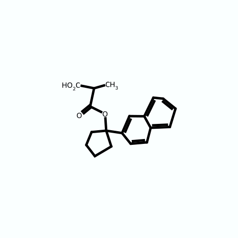 CC(C(=O)O)C(=O)OC1(c2ccc3ccccc3c2)CCCC1